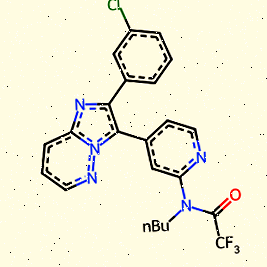 CCCCN(C(=O)C(F)(F)F)c1cc(-c2c(-c3cccc(Cl)c3)nc3cccnn23)ccn1